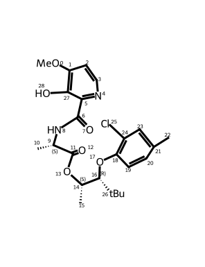 COc1ccnc(C(=O)N[C@@H](C)C(=O)O[C@@H](C)[C@H](Oc2ccc(C)cc2Cl)C(C)(C)C)c1O